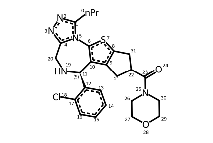 CCCc1nnc2n1-c1sc3c(c1[C@@H](c1ccccc1Cl)NC2)CC(C(=O)N1CCOCC1)C3